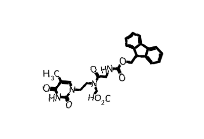 Cc1cn(CCN(CC(=O)O)C(=O)CNC(=O)OCC2c3ccccc3-c3ccccc32)c(=O)[nH]c1=O